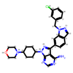 Nc1ncnc2c1c(-c1ccc3cnn(Cc4cccc(Cl)c4)c3c1)nn2C1CCC(N2CCOCC2)CC1